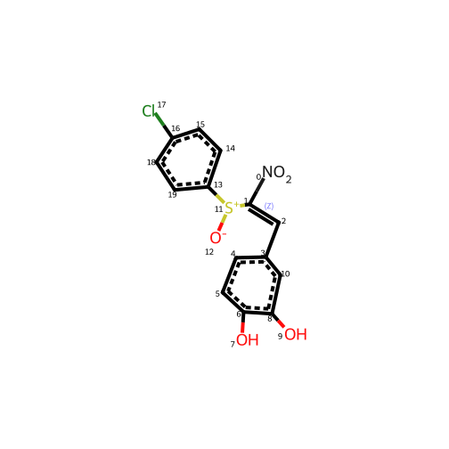 O=[N+]([O-])/C(=C/c1ccc(O)c(O)c1)[S+]([O-])c1ccc(Cl)cc1